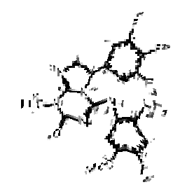 COc1cc(NC2=NC(=O)N(C)C3=NCC(c4cc(F)c(F)c(F)c4)N23)c(C)cc1F